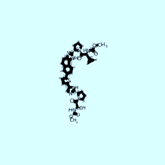 COC(=O)N[C@@H](O)C(=O)N1CCC[C@H]1c1ncc(-c2ccc(-c3ccc4c(ccc5nc([C@@H]6CCCN6C(=O)[C@@H](NC(=O)OC)C6CC6)[nH]c54)c3)s2)[nH]1